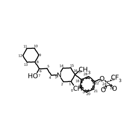 CC1CN(CCC(O)C2CCCCC2)CCC1(C)c1cccc(OS(=O)(=O)C(F)(F)F)c1